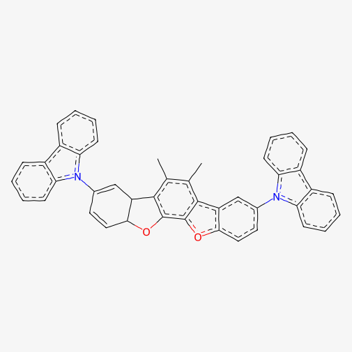 Cc1c2c(c3oc4ccc(-n5c6ccccc6c6ccccc65)cc4c3c1C)OC1C=CC(n3c4ccccc4c4ccccc43)=CC21